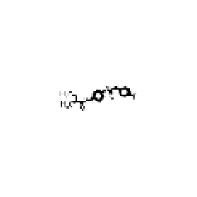 CCC(C)C(=O)OCc1ccc(NC(=O)Cc2ccc(F)cc2)cc1